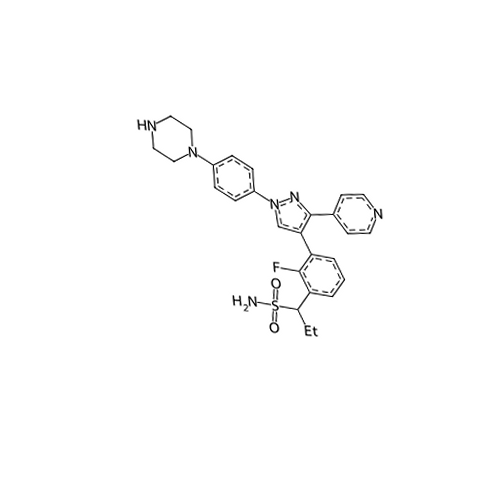 CCC(c1cccc(-c2cn(-c3ccc(N4CCNCC4)cc3)nc2-c2ccncc2)c1F)S(N)(=O)=O